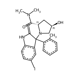 Cc1ccccc1C1(N2C[C@H](O)C[C@H]2C(=O)N(C)C)C(=O)Nc2ccc(I)cc21